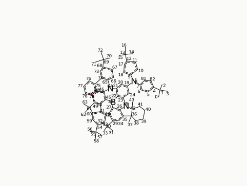 CC(C)(C)c1ccc(N(c2ccc(C(C)(C)C)cc2)c2cc3c4c(c2)N2c5c(cc(C(C)(C)C)cc5C5(C)CCCCC25C)B4c2c(ccc4c2-c2ccc(C(C)(C)C)cc2C4(C)C)N3c2ccc(C(C)(C)C)cc2-c2ccccc2)cc1